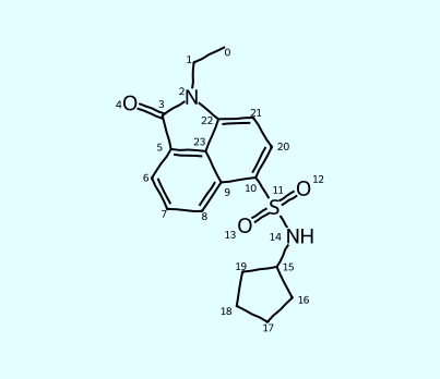 CCN1C(=O)c2cccc3c(S(=O)(=O)NC4CCCC4)ccc1c23